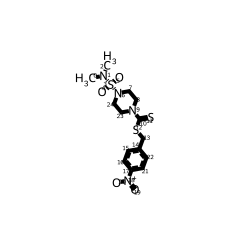 CN(C)S(=O)(=O)N1CCN(C(=S)SCc2ccc([N+](=O)[O-])cc2)CC1